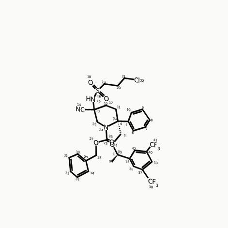 C[C@@H](OC[C@@]1(c2ccccc2)CCC(C#N)(NS(=O)(=O)CCCCl)CN1C(=O)OCc1ccccc1)c1cc(C(F)(F)F)cc(C(F)(F)F)c1